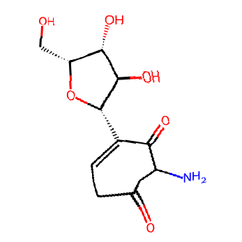 NC1C(=O)CC=C([C@@H]2O[C@H](CO)[C@H](O)C2O)C1=O